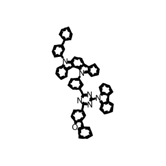 c1ccc(-c2cccc(-n3c4ccccc4c4c3ccc3c5ccccc5n(-c5cccc(-c6nc(-c7ccc8oc9ccccc9c8c7)nc(-n7c8ccccc8c8ccccc87)n6)c5)c34)c2)cc1